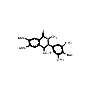 COc1cc2c(cc1OC)C(C(=O)O)C(c1cc(OC)c(OC)c(OC)c1)N(C)C2=O